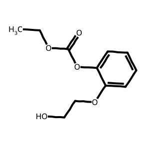 CCOC(=O)Oc1ccccc1OCCO